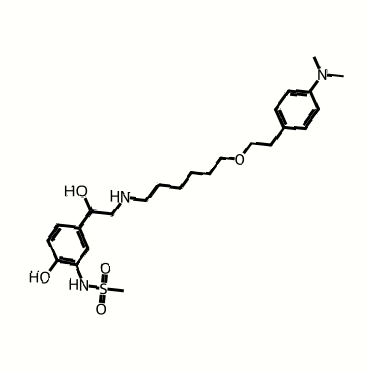 CN(C)c1ccc(CCOCCCCCCNCC(O)c2ccc(O)c(NS(C)(=O)=O)c2)cc1